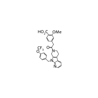 COc1cc(CC(=O)N2CCc3c(n(Cc4ccc(OC(F)(F)F)cc4)c4ncccc34)C2)ccc1C(=O)O